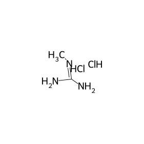 CN=C(N)N.Cl.Cl